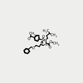 COC(=O)[C@@H](CCCCOCc1ccccc1)N(CCC(C)C)S(=O)(=O)c1ccc(C(C)=O)cc1